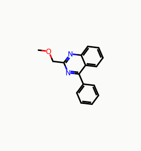 COCc1nc(-c2ccccc2)c2ccccc2n1